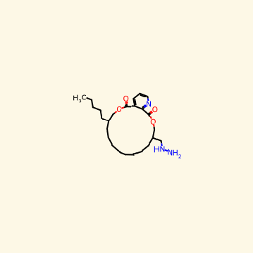 CCCCCC1CCCCCCCCC(CNN)COC(=O)c2ncccc2C(=O)OC1